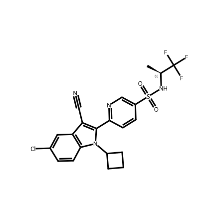 C[C@H](NS(=O)(=O)c1ccc(-c2c(C#N)c3cc(Cl)ccc3n2C2CCC2)nc1)C(F)(F)F